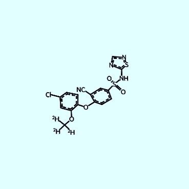 [2H]C([2H])([2H])Oc1cc(Cl)ccc1Oc1ccc(S(=O)(=O)Nc2ncns2)cc1C#N